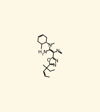 C=N/C(=C(/N)N(C)[C@@H]1CC=CCC1C)c1nnc(C(C)(/C=C\C)CC)o1